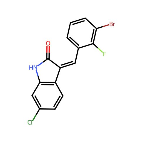 O=C1Nc2cc(Cl)ccc2C1=Cc1cccc(Br)c1F